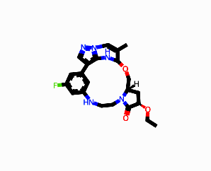 CCO[C@@H]1C[C@H]2COC3Nc4c(cnn4C=C3C)-c3cc(F)cc(c3)NCCN2C1=O